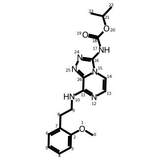 COc1ccccc1CCNc1nccn2c(NC(=O)OC(C)C)nnc12